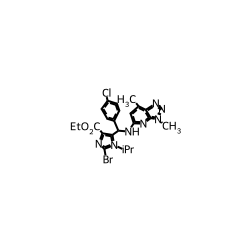 CCOC(=O)c1nc(Br)n(C(C)C)c1C(Nc1cc(C)c2nnn(C)c2n1)c1ccc(Cl)cc1